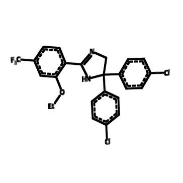 CCOc1cc(C(F)(F)F)ccc1C1=NCC(c2ccc(Cl)cc2)(c2ccc(Cl)cc2)N1